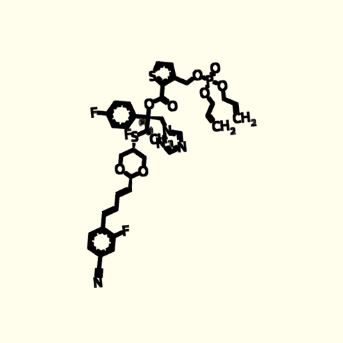 C=CCOP(=O)(OCC=C)OCc1ccsc1C(=O)O[C@@](Cn1cncn1)(c1ccc(F)cc1F)[C@@H](C)S[C@H]1CO[C@H](C=CC=Cc2ccc(C#N)cc2F)OC1